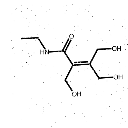 CCNC(=O)C(CO)=C(CO)CO